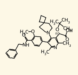 COc1cc(-c2c(C)nc(C)c([C@H](OC(C)(C)C)C(=O)O)c2N2CCC3(CCC3)CC2)ccc1C(=O)NCc1ccccc1